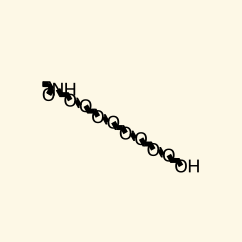 C=CC(=O)NCCOCCOCCOCCOCCOCCOCCOCCOCCO